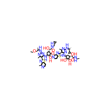 CCNC(=O)C(O)[C@H]1C[C@@H](Nc2nc(N[C@H](C)C3CC3)nc(C)c2-c2nc3c(O[C@H]4[C@@H](O)[C@H](Nc5nc(N[C@H](C)COCC)nc(C)c5-c5nc6c(C)nccc6s5)C[C@@H]4C(O)C(=O)NCC4CC4)nccc3s2)[C@H](O)[C@@H]1O